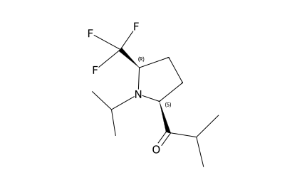 CC(C)C(=O)[C@@H]1CC[C@H](C(F)(F)F)N1C(C)C